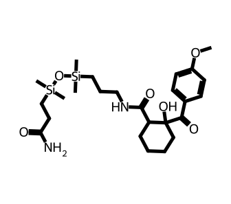 COc1ccc(C(=O)C2(O)CCCCC2C(=O)NCCC[Si](C)(C)O[Si](C)(C)CCC(N)=O)cc1